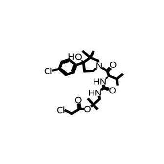 CC(C)[C@@H](NC(=O)NCC(C)(C)OC(=O)CCl)C(=O)N1CC[C@](O)(c2ccc(Cl)cc2)C(C)(C)C1